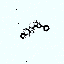 CN1C(=O)[C@@H](NC(=O)c2nnn3c2CC(c2ccccc2)C3)COc2ccccc21